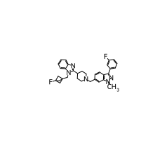 Cn1nc(-c2cccc(F)c2)c2ccc(CN3CCC(c4nc5ccccc5n4CC45CC(F)(C4)C5)CC3)cc21